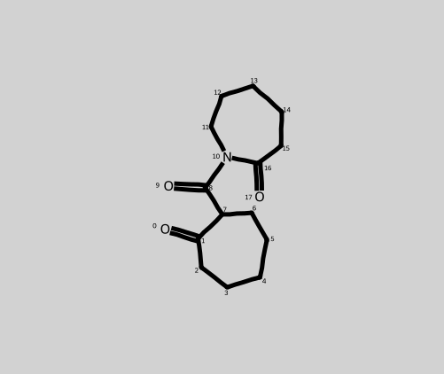 O=C1CCCCCC1C(=O)N1CCCCCC1=O